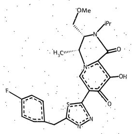 COC[C@H]1[C@@H](C)n2cc(-c3nnc(Cc4ccc(F)cc4)s3)c(=O)c(O)c2C(=O)N1C(C)C